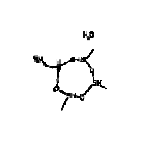 C[SiH]1O[SiH](C)O[SiH](C)O[SiH](C)O1.O.[SiH4]